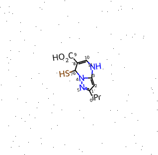 CC(C)c1cc2n(n1)C(S)C(C(=O)O)=CN2